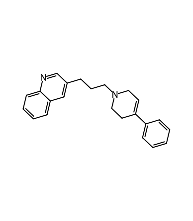 C1=C(c2ccccc2)CCN(CCCc2cnc3ccccc3c2)C1